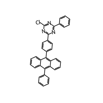 Clc1nc(-c2ccccc2)nc(-c2ccc(-c3c4ccccc4c(-c4ccccc4)c4ccccc34)cc2)n1